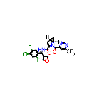 O=C(N[C@@H](c1cc(F)c(Cl)cc1F)C1COC1)[C@H]1C[C@H]2C[C@H]2N1C(=O)c1cc(C(F)(F)F)ncn1